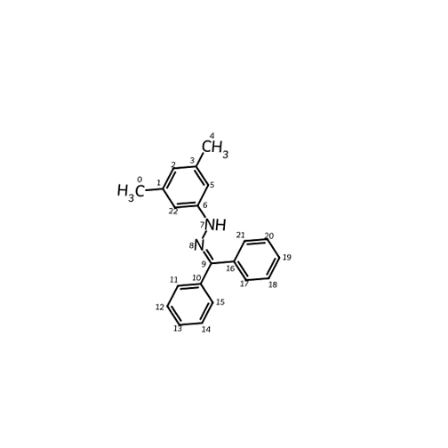 Cc1cc(C)cc(NN=C(c2ccccc2)c2ccccc2)c1